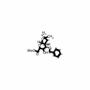 COC(=O)C1O[C@@H]2OC(C)(C)C[C@@H]2[C@@H](OCc2ccccc2)C1O